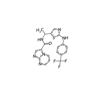 CC(NC(=O)c1cnc2ncccn12)c1cnc(Nc2ccc(C(F)(F)F)cc2)s1